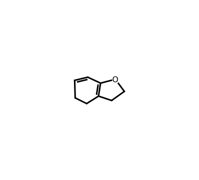 C1=CC2=C(CC1)CCO2